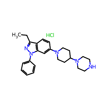 CCc1nn(-c2ccccc2)c2cc(N3CCC(N4CCNCC4)CC3)ccc12.Cl